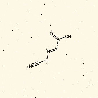 N#CON=CC(=O)O